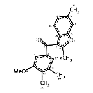 COc1cc(C(=O)c2c(C)oc3cc(C)ccc23)cc(C)c1C